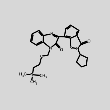 C[Si](C)(C)CCOCn1c(=O)c(-c2cccc3c(=O)n(C4CCCC4)sc23)nc2ccccc21